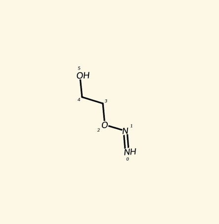 N=NOCCO